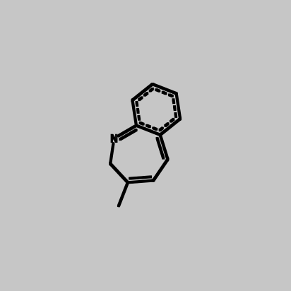 CC1=CC=c2ccccc2=NC1